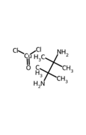 CC(C)(N)C(C)(C)N.[O]=[Cu]([Cl])[Cl]